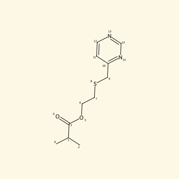 CC(C)C(=O)OCCSCc1ccncn1